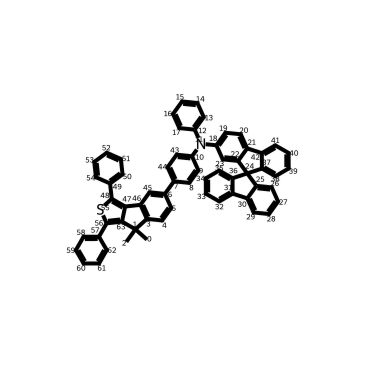 CC1(C)c2ccc(-c3ccc(N(c4ccccc4)c4ccc5c(c4)C4(c6ccccc6-c6ccccc64)c4ccccc4-5)cc3)cc2-c2c(-c3ccccc3)sc(-c3ccccc3)c21